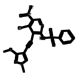 COc1nn(C)cc1C#Cc1c(NS(=O)(=O)c2ccccc2)ncc([N+](=O)[O-])c1Cl